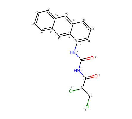 O=C(NC(=O)C(Cl)CCl)Nc1cccc2cc3ccccc3cc12